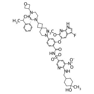 COc1nc2[nH]cc(F)c2cc1Oc1cc(N2CCC3(CC2)CC(N2CCN(C4COC4)C[C@H]2c2ccccc2C(C)C)C3)ccc1C(=O)NS(=O)(=O)c1cnc(NCC2CCC(C)(O)CC2)c([N+](=O)[O-])c1